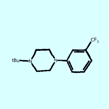 CC(C)(C)N1CCN(c2cccc(C(F)(F)F)c2)CC1